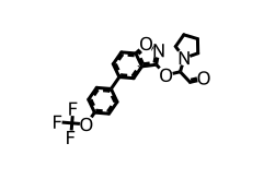 O=CC(Oc1noc2ccc(-c3ccc(OC(F)(F)F)cc3)cc12)N1CCCC1